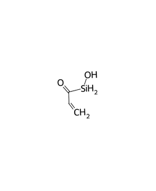 C=CC(=O)[SiH2]O